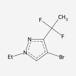 CCn1cc(Br)c(C(C)(F)F)n1